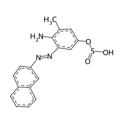 Cc1cc(OS(=O)O)cc(N=Nc2ccc3ccccc3c2)c1N